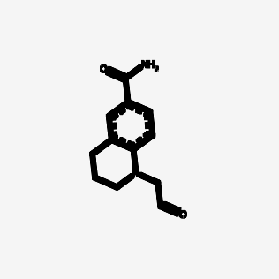 NC(=O)c1ccc2c(c1)CCCN2CC=O